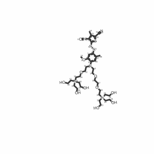 [C-]#[N+]c1c(/N=N/c2cc(OC)c(N(CCOCCOCC[N+](CCO)(CCO)CCO)CCOCC[N+](CCO)(CCO)CCO)cc2C)sc(C#N)c1C